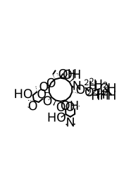 [2H]C([2H])([2H])OC([2H])([2H])C([2H])([2H])OCO/N=C1\[C@H](C)C[C@@](C)(O)[C@H](O[C@@H]2O[C@H](C)C[C@H](N(C)C)[C@H]2O)[C@@H](C)[C@H](O[C@H]2C[C@@](C)(OC)[C@@H](O)[C@H](C)O2)[C@@H](C)C(=O)O[C@H](CC)[C@@](C)(O)[C@H](O)[C@H]1C